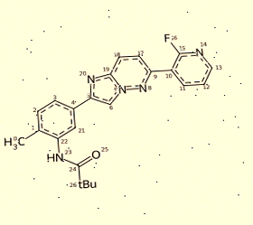 Cc1ccc(-c2cn3nc(-c4cccnc4F)ccc3n2)cc1NC(=O)C(C)(C)C